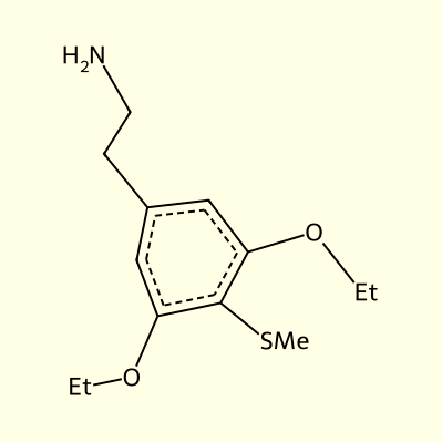 CCOc1cc(CCN)cc(OCC)c1SC